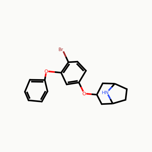 Brc1ccc(OC2CC3CCC(C2)N3)cc1Oc1ccccc1